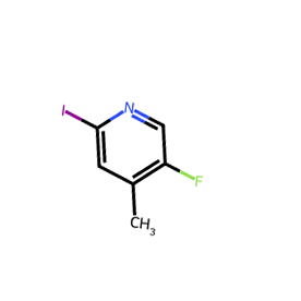 Cc1cc(I)ncc1F